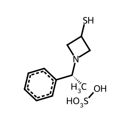 C[C@H](c1ccccc1)N1CC(S)C1.O=S(=O)(O)O